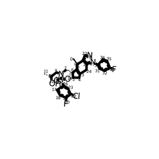 C[C@@H]1C2=C(CC[C@@H]2CN(C[C@@H](C)O)S(=O)(=O)c2ccc(F)c(Cl)c2)Cc2c1cnn2-c1ccc(F)cc1